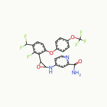 NC(=O)c1cc(NC2OC2c2c(Oc3ccc(OC(F)(F)F)cc3)ccc(C(F)F)c2F)ccn1